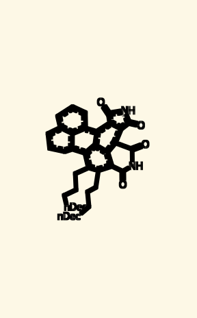 CCCCCCCCCCCCCc1c2c3c(c4c(=O)[nH]c(=O)c4c4c5cccc6cccc(c(c1CCCCCCCCCCCCC)c34)c65)C(=O)NC2=O